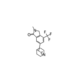 CN1Cc2c(cc(C3CN4CCC3CC4)cc2C(F)(F)F)C1=O